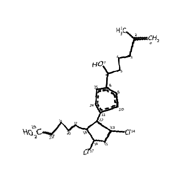 C=C(C)CCCC(O)c1ccc(C2C(Cl)CC(Cl)C2CCCCC(=O)O)cc1